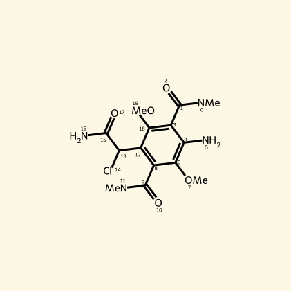 CNC(=O)c1c(N)c(OC)c(C(=O)NC)c(C(Cl)C(N)=O)c1OC